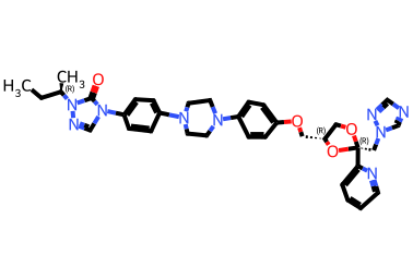 CC[C@@H](C)n1ncn(-c2ccc(N3CCN(c4ccc(OC[C@@H]5CO[C@@](Cn6cncn6)(c6ccccn6)O5)cc4)CC3)cc2)c1=O